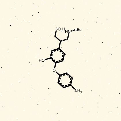 Cc1ccc(Oc2ccc(C(CNC(C)(C)C)CS(=O)(=O)O)cc2O)cc1